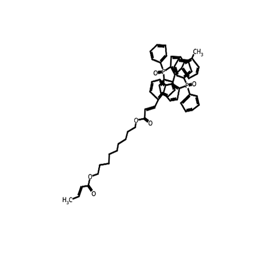 C/C=C/C(=O)OCCCCCCCCCOC(=O)/C=C/c1cccc2c(-c3c(P(=O)(c4ccccc4)c4ccccc4)ccc4c(C)cccc34)c(P(=O)(c3ccccc3)c3ccccc3)ccc12